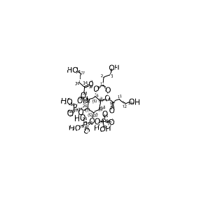 O=C(CCO)O[C@@H]1[C@@H](OC(=O)CCO)[C@H](OP(=O)(O)O)[C@@H](OP(=O)(O)O)[C@@H](OP(=O)(O)O)[C@H]1OC(=O)CCO